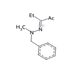 CC/C(=N\N(C)Cc1ccccc1)C(C)=O